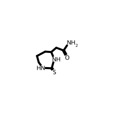 NC(=O)CC1CCCNC(=S)N1